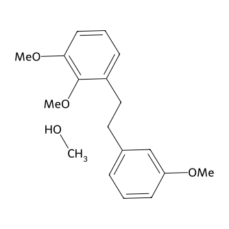 CO.COc1cccc(CCc2cccc(OC)c2OC)c1